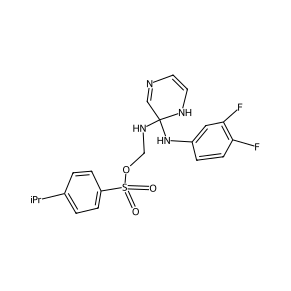 CC(C)c1ccc(S(=O)(=O)OCNC2(Nc3ccc(F)c(F)c3)C=NC=CN2)cc1